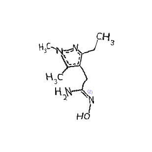 CCc1nn(C)c(C)c1C/C(N)=N/O